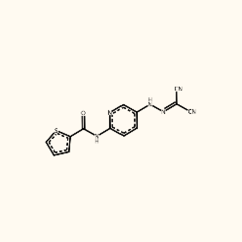 N#CC(C#N)=NNc1ccc(NC(=O)c2cccs2)nc1